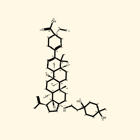 C=C(C)[C@@H]1CC[C@]2(NCCC3(O)CCC(C)(O)CC3)CC[C@]3(C)[C@H](CC[C@@H]4[C@@]5(C)CC=C(C6=CC[C@](CF)(C(=O)O)CC6)C(C)(C)[C@@H]5CC[C@]43C)[C@@H]12